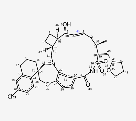 C[C@@H]1C/C=C/[C@H](O)[C@@H]2CC[C@H]2CN2C[C@@]3(CCCc4cc(Cl)ccc43)COc3ccc(cc32)C(=O)NS(=O)(=O)[C@@H]1C[C@@H]1CCCO1